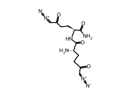 [N-]=[N+]=CC(=O)CC[C@H](NC(=O)[C@@H](N)CCC(=O)C=[N+]=[N-])C(N)=O